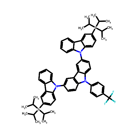 CC(C)[Si](c1ccc2c(c1)c1ccccc1n2-c1ccc2c(c1)c1cc(-n3c4ccccc4c4cc([Si](C(C)C)(C(C)C)C(C)C)ccc43)ccc1n2-c1ccc(C(F)(F)F)cc1)(C(C)C)C(C)C